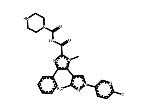 Cn1c(C(=O)NC(=O)N2CCNCC2)nc(-c2ccccc2)c1-c1cn(-c2ccc(Cl)nc2)nc1C(F)(F)F